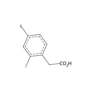 Cc1cc(I)ccc1CC(=O)O